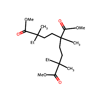 CCC(C)(CCC(C)(CCC(C)(CC)C(=O)OC)C(=O)OC)C(=O)OC